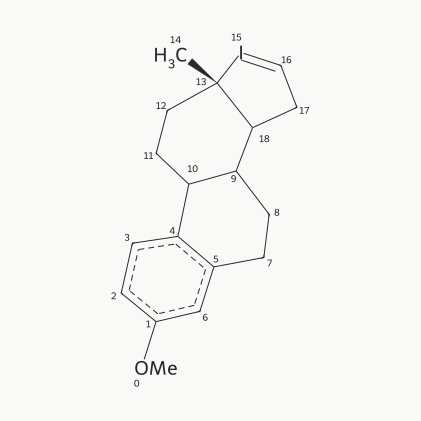 COc1ccc2c(c1)CCC1C2CC[C@]2(C)I=CCC12